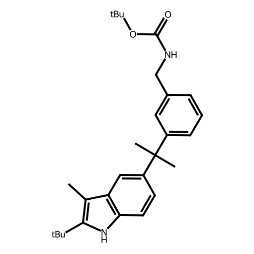 Cc1c(C(C)(C)C)[nH]c2ccc(C(C)(C)c3cccc(CNC(=O)OC(C)(C)C)c3)cc12